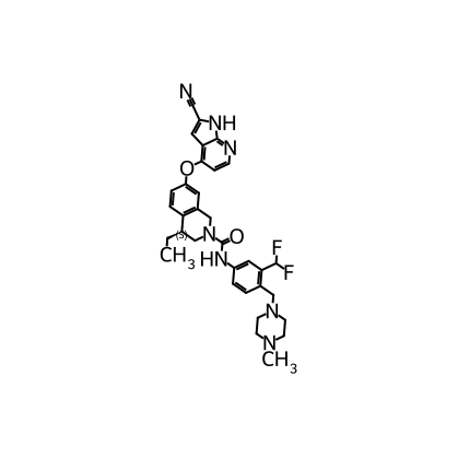 CC[C@@H]1CN(C(=O)Nc2ccc(CN3CCN(C)CC3)c(C(F)F)c2)Cc2cc(Oc3ccnc4[nH]c(C#N)cc34)ccc21